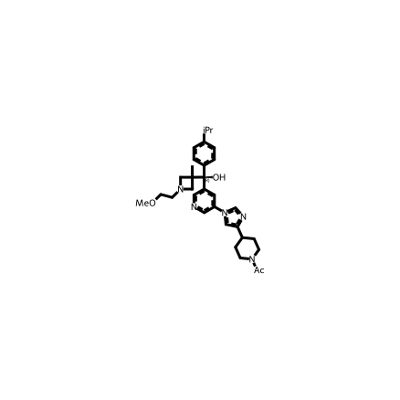 COCCN1CC(C)([C@](O)(c2ccc(C(C)C)cc2)c2cncc(-n3cnc(C4CCN(C(C)=O)CC4)c3)c2)C1